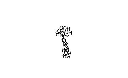 CCc1c(-c2ccc3c(c2)cc(CN2C[C@H]4C[C@H](NC)C[C@H]4C2)n3C)[nH]c(=O)c(C(=O)O)c1O